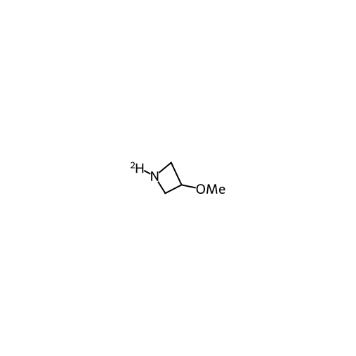 [2H]N1CC(OC)C1